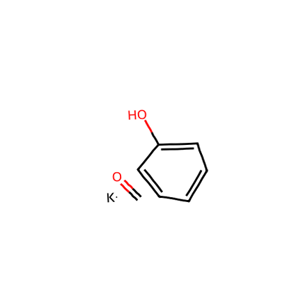 C=O.Oc1ccccc1.[K]